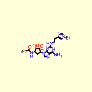 CCn1cnc(CCNc2nc(N)c3ncn([C@H]4C[C@H](NC(=O)C(C)C)[C@H](O)[C@H]4O)c3n2)c1